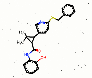 CC1(C)C(C(=O)Nc2ccccc2O)C1c1ccc(SCc2ccccc2)nc1